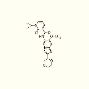 COc1cc2nc(C3COCCO3)cn2cc1NC(=O)c1cccn(C2CC2)c1=O